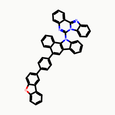 c1ccc2c(c1)nc(-n1c3ccccc3c3cc(-c4ccc(-c5ccc6oc7ccccc7c6c5)cc4)c4ccccc4c31)n1c3ccccc3nc21